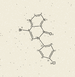 O=c1c2nccnc2c(Br)cn1-c1ccc(Cl)cc1